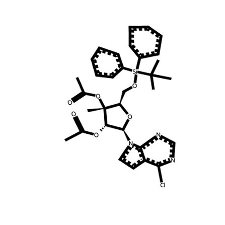 CC(=O)O[C@H]1[C@H](n2ccc3c(Cl)ncnc32)O[C@H](CO[Si](c2ccccc2)(c2ccccc2)C(C)(C)C)[C@@]1(C)OC(C)=O